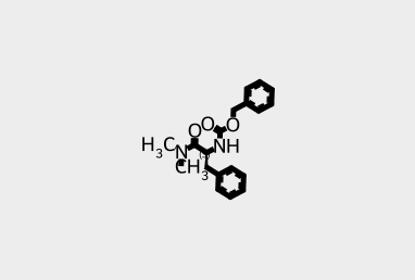 CN(C)C(=O)[C@H](Cc1ccccc1)NC(=O)OCc1ccccc1